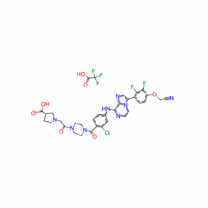 N#CCOc1ccc(-c2cnc3c(Nc4ccc(C(=O)N5CCN(C(=O)CN6CCC(C(=O)O)C6)CC5)c(Cl)c4)nccn23)c(F)c1F.O=C(O)C(F)(F)F